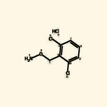 Cl.NOCc1c(Cl)cccc1Cl